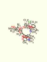 CC(C)Cc1ccc(C(C)C(=O)O)cc1.CC[C@H]1OC(=O)[C@H](C)[C@@H](O[C@H]2C[C@@](C)(OC)[C@@H](O)[C@H](C)O2)[C@H](C)[C@@H](O[C@@H]2O[C@H](C)C[C@H](N(C)C)[C@H]2O)[C@](C)(O)C[C@@H](C)CN(C)[C@H](C)[C@@H](O)[C@]1(C)O.ClC(Cl)(Cl)Cl